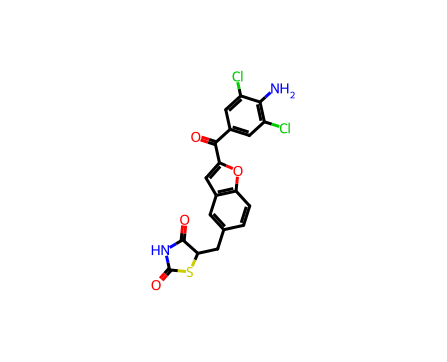 Nc1c(Cl)cc(C(=O)c2cc3cc(CC4SC(=O)NC4=O)ccc3o2)cc1Cl